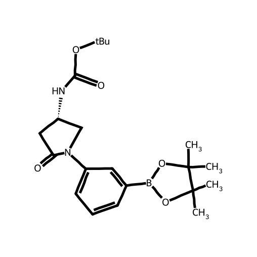 CC(C)(C)OC(=O)N[C@H]1CC(=O)N(c2cccc(B3OC(C)(C)C(C)(C)O3)c2)C1